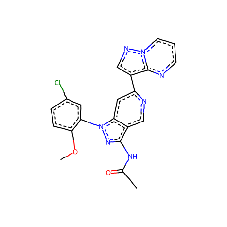 COc1ccc(Cl)cc1-n1nc(NC(C)=O)c2cnc(-c3cnn4cccnc34)cc21